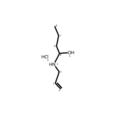 C=CCNC(O)CCC.Cl